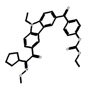 CCOC(=O)Oc1ccc(C(=O)c2ccc3c(c2)c2cc(C(=O)/C(=N/OC)C4CCCC4)ccc2n3CC)cc1